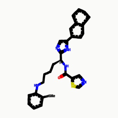 CSc1ccccc1NCCCC[C@H](NC(=O)c1cncs1)c1ncc(-c2ccc3ccccc3c2)[nH]1